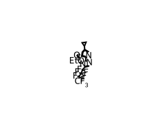 CCS(=O)(=O)c1cc(C2CC2)cnc1-c1ncc(C(F)(F)C(F)(F)C(F)(F)C(F)(F)F)n1C